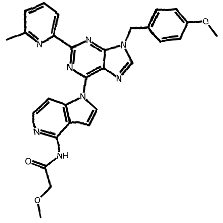 COCC(=O)Nc1nccc2c1ccn2-c1nc(-c2cccc(C)n2)nc2c1ncn2Cc1ccc(OC)cc1